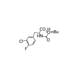 CCCCOC(=O)NC(Cc1ccc(F)c(Cl)c1)C(=O)O